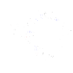 CO[C@@H]1CC/C=C/c2cccc(c2)[C@@H](C)NC(=O)[C@@H]2CCCN(N2)C(=O)[C@H](Cc2cccc(O)c2)NC(=O)[C@H](C(C)C)NC(=O)[C@@H]1C